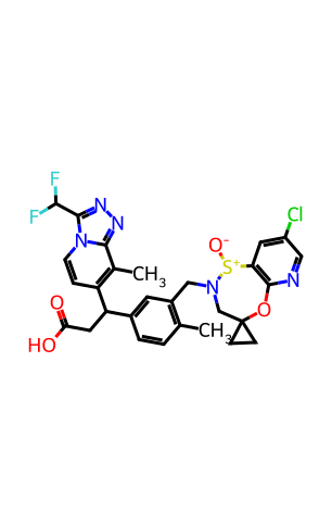 Cc1ccc(C(CC(=O)O)c2ccn3c(C(F)F)nnc3c2C)cc1CN1CC2(CC2)Oc2ncc(Cl)cc2[S+]1[O-]